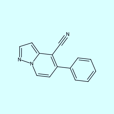 N#Cc1c(-c2ccccc2)ccn2nccc12